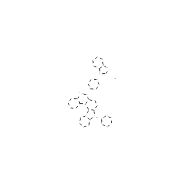 CCc1nc2ccccc2n1-c1ccc(-c2nc3ccccc3c3c2ccc2c3c3ccccc3n2-c2ccccc2)cc1